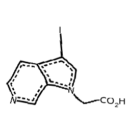 O=C(O)Cn1cc(I)c2ccncc21